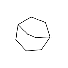 C1C[C]2CCC(C1)CC2